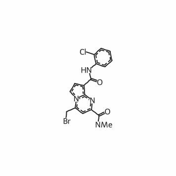 CNC(=O)c1cc(CBr)n2ccc(C(=O)Nc3ccccc3Cl)c2n1